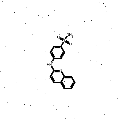 NS(=O)(=O)c1ccc(Nc2ccc3ccccc3n2)cc1